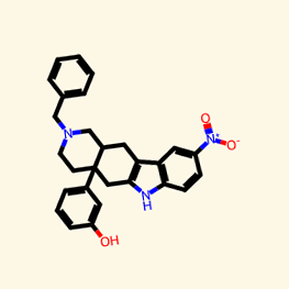 O=[N+]([O-])c1ccc2[nH]c3c(c2c1)CC1CN(Cc2ccccc2)CCC1(c1cccc(O)c1)C3